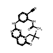 CC(=O)Nc1cc(Nc2ncc3ccc(=O)n(CC(F)(F)F)c3n2)ccc1C#N